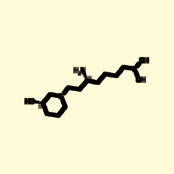 N[C@H](CCCCB(O)O)CCN1CCC[C@H](O)C1